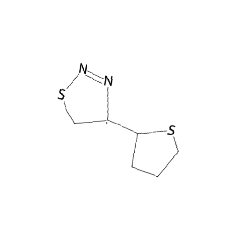 C1CSC([C]2CSN=N2)C1